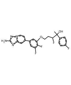 CC(O)(c1ccc(F)cc1)C(F)CCOc1cc(-c2ccn3nc(N)nc3c2)cc(F)c1F